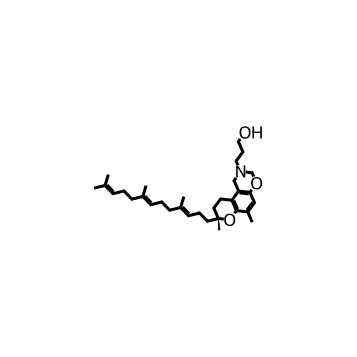 CC(C)=CCC/C(C)=C/CC/C(C)=C/CC[C@]1(C)CCc2c3c(cc(C)c2O1)OCN(CCCO)C3